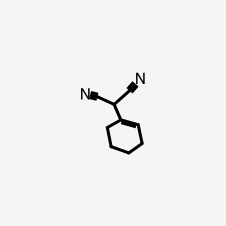 N#CC(C#N)C1=CCCCC1